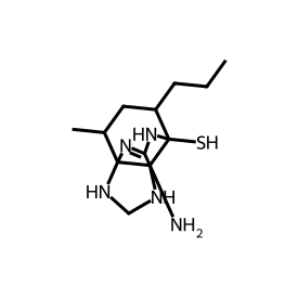 CCCC1CC(C)C23N=C(N)NC1(S)C2NCN3